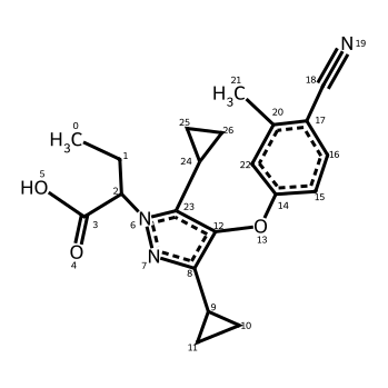 CCC(C(=O)O)n1nc(C2CC2)c(Oc2ccc(C#N)c(C)c2)c1C1CC1